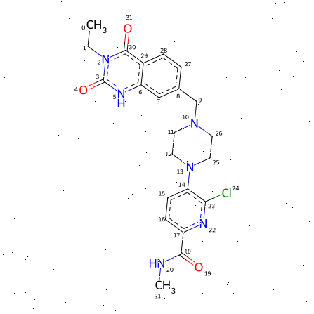 CCn1c(=O)[nH]c2cc(CN3CCN(c4ccc(C(=O)NC)nc4Cl)CC3)ccc2c1=O